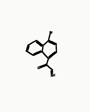 N=CC(=O)c1ccc(Br)c2ccccc12